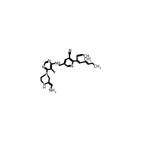 C\C=C/C(=C\C(C)=C\CC)c1ncc(CNc2ncnc(N3CCN/C(=C\N)C3)c2F)cc1C#N